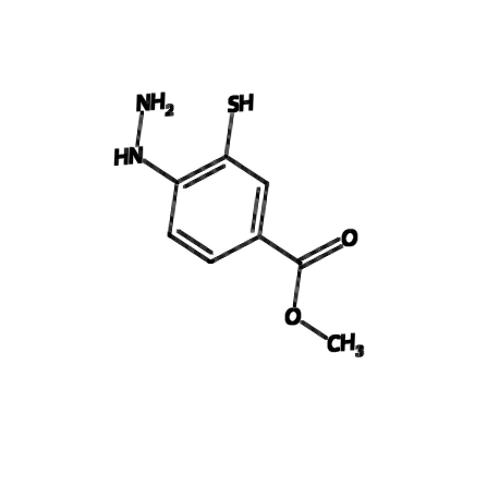 COC(=O)c1ccc(NN)c(S)c1